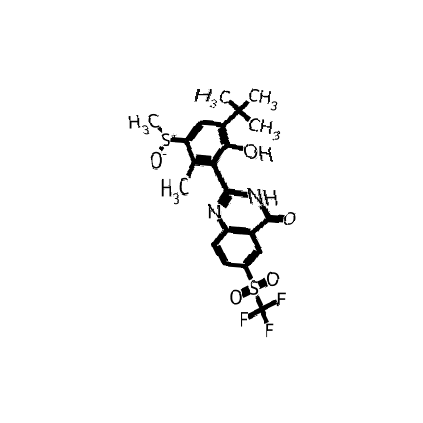 Cc1c([S@+](C)[O-])cc(C(C)(C)C)c(O)c1-c1nc2ccc(S(=O)(=O)C(F)(F)F)cc2c(=O)[nH]1